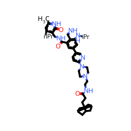 CCCc1cc(C)[nH]c(=O)c1CNC(=O)c1cc(-c2ccc(N3CCN(CCNC(=O)CCC45CC6CC4CC6C5)CC3)nc2)cc(NC(C)C)c1C=N